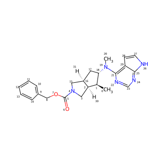 C[C@H]1[C@H]2CN(C(=O)OCc3ccccc3)C[C@H]2C[C@@H]1N(C)c1ncnc2[nH]ccc12